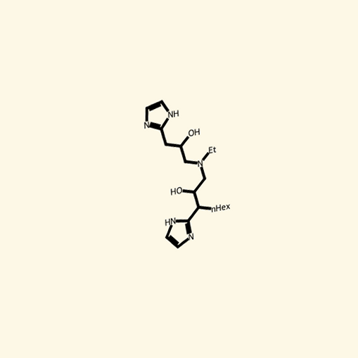 CCCCCCC(c1ncc[nH]1)C(O)CN(CC)CC(O)Cc1ncc[nH]1